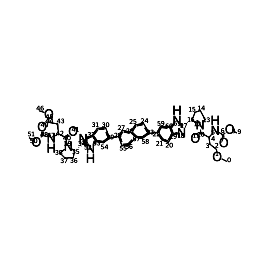 COCCC(NC(=O)OC)C(=O)N1CCC[C@H]1c1nc2ccc(-c3ccc4cc(-c5ccc6nc([C@@H]7CCCN7C(=O)[C@H](CCOC)NC(=O)OC)[nH]c6c5)ccc4c3)cc2[nH]1